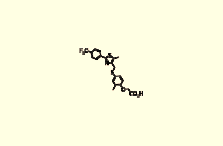 Cc1cc(SCc2nc(-c3ccc(C(F)(F)F)cc3)sc2C)ccc1OCC(=O)O